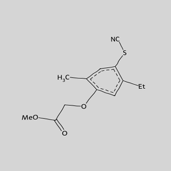 CCc1cc(OCC(=O)OC)c(C)cc1SC#N